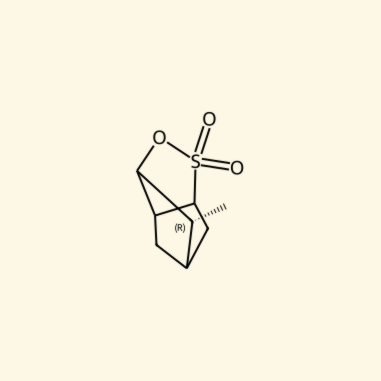 C[C@@H]1C2CC3C1OS(=O)(=O)C3C2